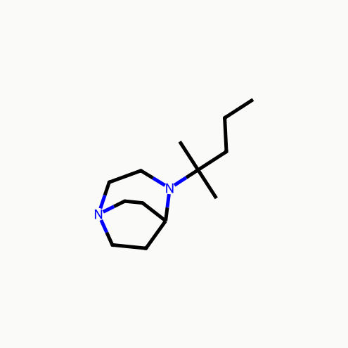 CCCC(C)(C)N1CCN2CCC1CC2